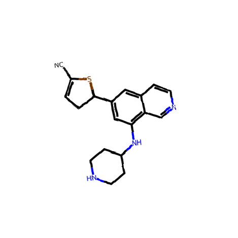 N#CC1=CCC(c2cc(NC3CCNCC3)c3cnccc3c2)S1